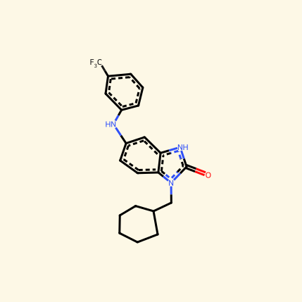 O=c1[nH]c2cc(Nc3cccc(C(F)(F)F)c3)ccc2n1CC1CCCCC1